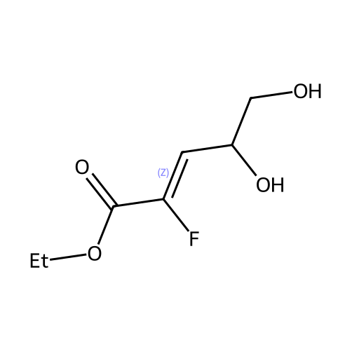 CCOC(=O)/C(F)=C/C(O)CO